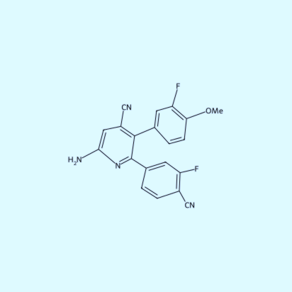 COc1ccc(-c2c(C#N)cc(N)nc2-c2ccc(C#N)c(F)c2)cc1F